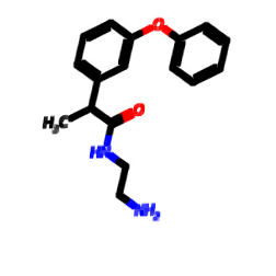 CC(C(=O)NCCN)c1cccc(Oc2ccccc2)c1